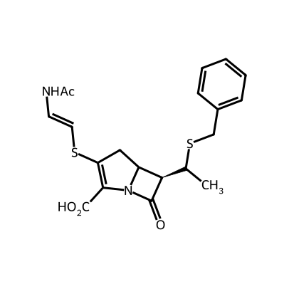 CC(=O)N/C=C/SC1=C(C(=O)O)N2C(=O)[C@H](C(C)SCc3ccccc3)C2C1